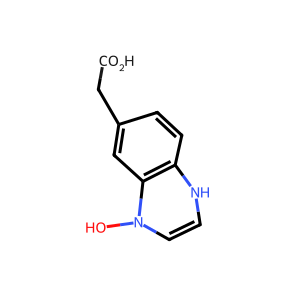 O=C(O)Cc1ccc2c(c1)N(O)C=CN2